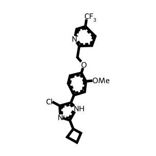 COc1cc(-c2[nH]c(C3CCC3)nc2Cl)ccc1OCc1ccc(C(F)(F)F)cn1